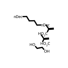 C=C(C)C(=O)O.C=C(C)C(=O)O.CCCCCCCCCCCCCCCCCCCCCCCC.OCCO